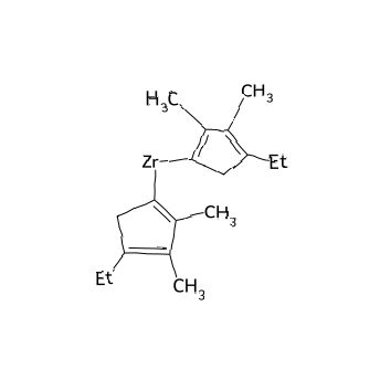 CCC1=C(C)C(C)=[C]([Zr][C]2=C(C)C(C)=C(CC)C2)C1